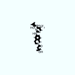 CC(C)(O)CC(=O)N1CCc2cc(Nc3ncc(C(F)(F)F)c(NC4(O)CC4)n3)ccc2C1